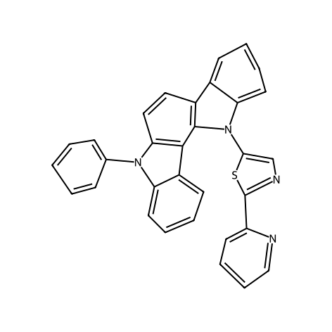 c1ccc(-n2c3ccccc3c3c2ccc2c4ccccc4n(-c4cnc(-c5ccccn5)s4)c23)cc1